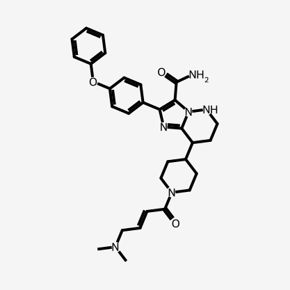 CN(C)C/C=C/C(=O)N1CCC(C2CCNn3c2nc(-c2ccc(Oc4ccccc4)cc2)c3C(N)=O)CC1